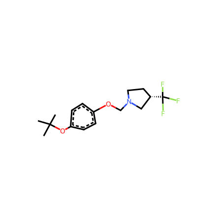 CC(C)(C)Oc1ccc(OCN2CC[C@H](C(F)(F)F)C2)cc1